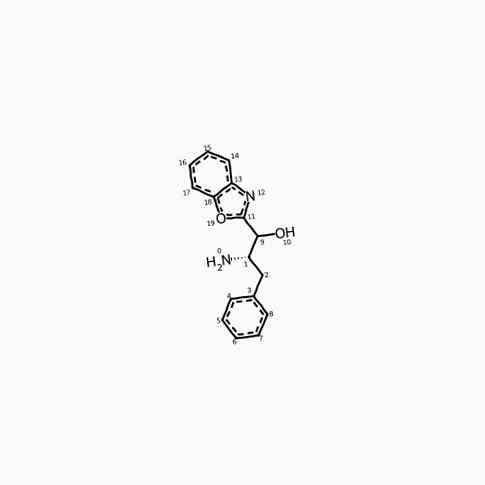 N[C@@H](Cc1ccccc1)C(O)c1nc2ccccc2o1